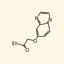 CCC(=O)COc1ccc2nccnc2c1